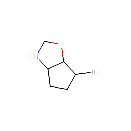 CC(C)(C)C1CCC2NCOC21